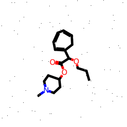 CCCOC(C(=O)OC1CCN(C)CC1)C1=CC=CC=CC1